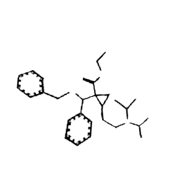 CCOC(=O)C1(C(OCc2ccccc2)c2ccccc2)CC1CCN(C(C)C)C(C)C